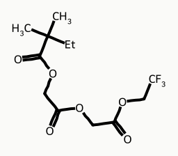 CCC(C)(C)C(=O)OCC(=O)OCC(=O)OCC(F)(F)F